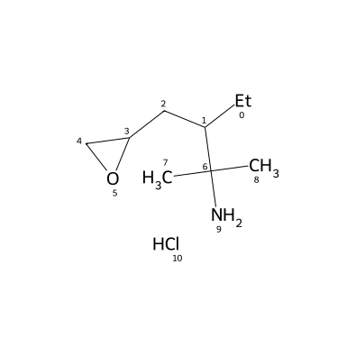 CCC(CC1CO1)C(C)(C)N.Cl